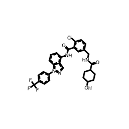 O=C(Nc1cccc2c1cnn2-c1ccc(C(F)(F)F)cc1)c1cc(CNC(=O)C2CCC(O)CC2)ccc1Cl